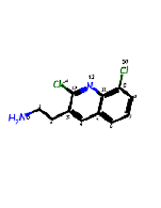 NCCc1cc2cccc(Cl)c2nc1Cl